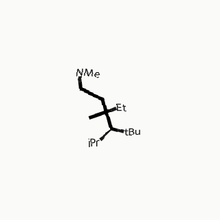 CCC(C)(CCNC)[C@H](C(C)C)C(C)(C)C